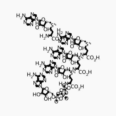 C[S+](CC[C@H](N)C(=O)O)C[C@H]1O[C@@H](n2cnc3c(N)ncnc32)[C@H](O)[C@@H]1O.C[S+](CC[C@H](N)C(=O)O)C[C@H]1O[C@@H](n2cnc3c(N)ncnc32)[C@H](O)[C@@H]1O.C[S+](CC[C@H](N)C(=O)O)C[C@H]1O[C@@H](n2cnc3c(N)ncnc32)[C@H](O)[C@@H]1O.C[S+](CC[C@H](N)C(=O)O)C[C@H]1O[C@@H](n2cnc3c(N)ncnc32)[C@H](O)[C@@H]1O.Nc1ncnc2c1ncn2[C@@H]1O[C@H](COP(=O)([O-])OP(=O)([O-])OP(=O)([O-])[O-])[C@@H](O)[C@H]1O